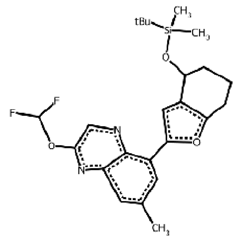 Cc1cc(-c2cc3c(o2)CCCC3O[Si](C)(C)C(C)(C)C)c2ncc(OC(F)F)nc2c1